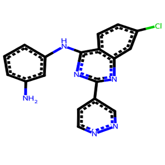 Nc1cccc(Nc2nc(-c3ccnnc3)nc3cc(Cl)ccc23)c1